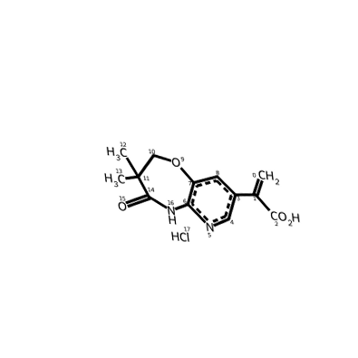 C=C(C(=O)O)c1cnc2c(c1)OCC(C)(C)C(=O)N2.Cl